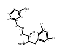 CC(=O)NC(Cc1cc(F)cc(F)c1)[C@H](O)CNCc1cc(C(C)(C)C)ccn1